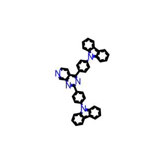 c1ccc2c(c1)c1ccccc1n2-c1ccc(-c2nc(-c3ccc(-n4c5ccccc5c5ccccc54)cc3)c3ccncc3n2)cc1